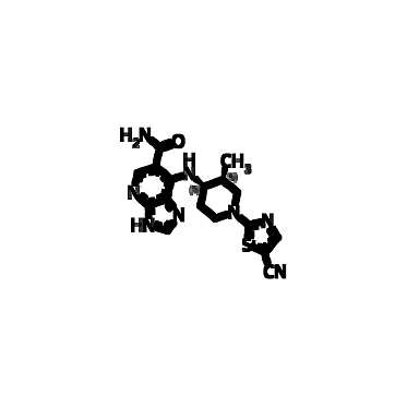 C[C@H]1CN(c2ncc(C#N)s2)CC[C@H]1Nc1c(C(N)=O)cnc2[nH]cnc12